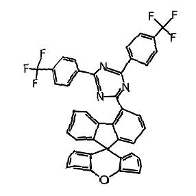 FC(F)(F)c1ccc(-c2nc(-c3ccc(C(F)(F)F)cc3)nc(-c3cccc4c3-c3ccccc3C43c4ccccc4Oc4ccccc43)n2)cc1